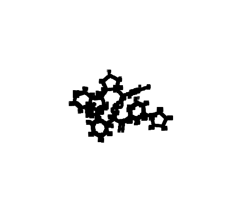 CC#CC(=O)N1CCCC1C1=C2C=NC=C[N+]2(N)C(c2ccccc2C(=O)Nc2cc(N3CCCC3)ccn2)=N1